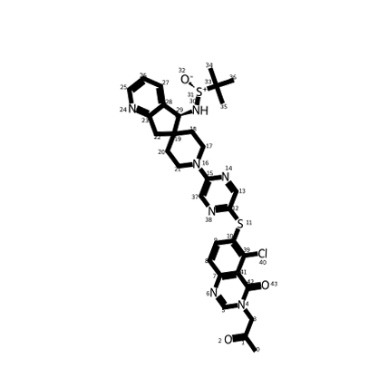 CC(=O)Cn1cnc2ccc(Sc3cnc(N4CCC5(CC4)Cc4ncccc4[C@H]5N[S@+]([O-])C(C)(C)C)cn3)c(Cl)c2c1=O